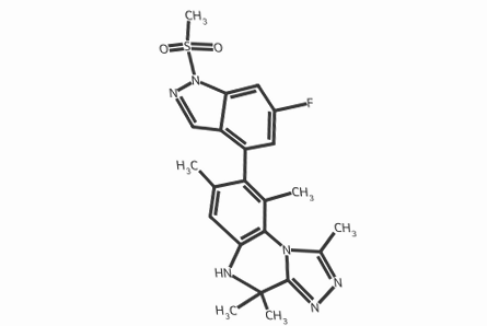 Cc1cc2c(c(C)c1-c1cc(F)cc3c1cnn3S(C)(=O)=O)-n1c(C)nnc1C(C)(C)N2